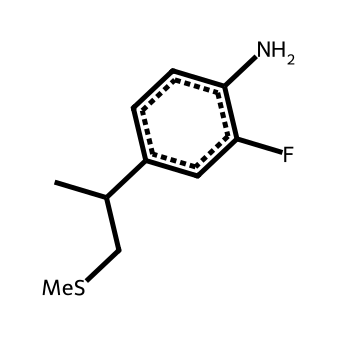 CSCC(C)c1ccc(N)c(F)c1